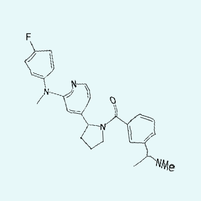 CNC(C)c1cccc(C(=O)N2CCCC2c2ccnc(N(C)c3ccc(F)cc3)c2)c1